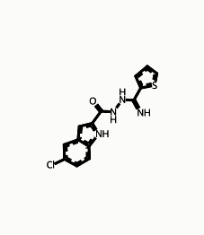 N=C(NNC(=O)c1cc2cc(Cl)ccc2[nH]1)c1cccs1